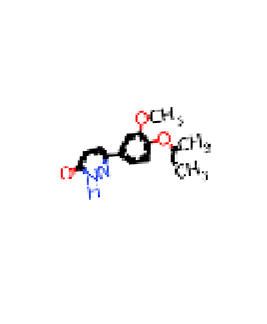 CCC(C)Oc1ccc(-c2ccc(=O)[nH]n2)cc1OC